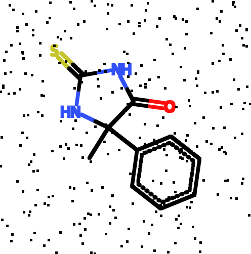 CC1(c2ccccc2)NC(=S)NC1=O